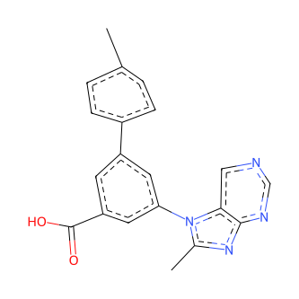 Cc1ccc(-c2cc(C(=O)O)cc(-n3c(C)nc4ncncc43)c2)cc1